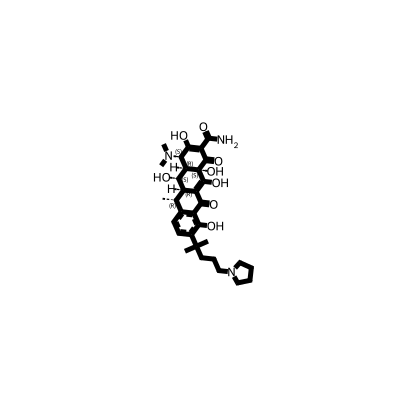 C[C@H]1c2ccc(C(C)(C)CCCN3CCCC3)c(O)c2C(=O)C2=C(O)[C@]3(O)C(=O)C(C(N)=O)=C(O)[C@@H](N(C)C)[C@@H]3[C@@H](O)[C@@H]21